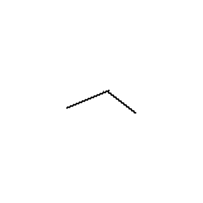 CCCCCCCCCCCCCCCCCCCCCCCCCCC[CH]C(C)CCCCCCCCCCCCCCCCCCCCCC